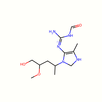 COC(CO)CC(C)N1CNC(C)=C1/N=C(/N)NC=O